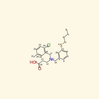 CCCCSc1cccc(CN(CCC(=O)O)Cc2cc(C)ccc2Cl)c1